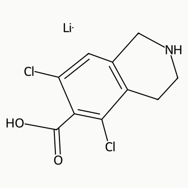 O=C(O)c1c(Cl)cc2c(c1Cl)CCNC2.[Li]